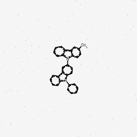 Cc1ccc2c(c1)c1ccccc1n2-c1ccc2c(c1)c1ccccc1n2-c1ccccc1